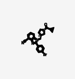 N#Cc1cccc2c1nc(-c1ccc(Br)cc1)n2C[C@H]1CCN(C(=O)C2CC2)C1